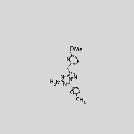 COCc1cccc(Cc2cnn3c(-c4ccc(C)o4)nc(N)nc23)n1